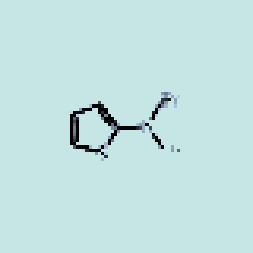 CC(C)N(c1cccs1)C(C)C